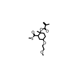 C=C(C)C(=O)OC1(C)CCC(OCCOC)CC1C(=O)SC